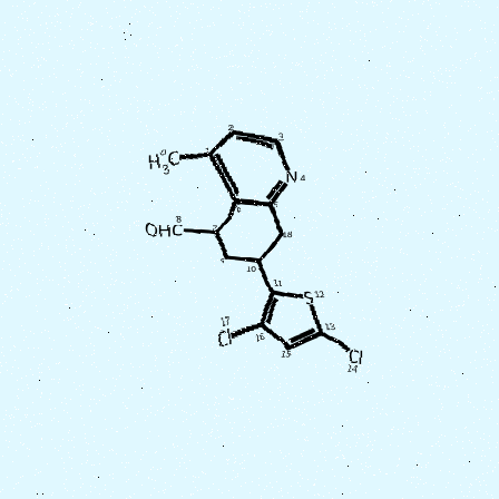 Cc1ccnc2c1C(C=O)CC(c1sc(Cl)cc1Cl)C2